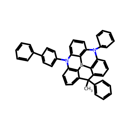 CC1(c2ccccc2)c2cccc3c2B2c4c(cccc4N(c4ccc(-c5ccccc5)cc4)c4cccc1c42)N3c1ccccc1